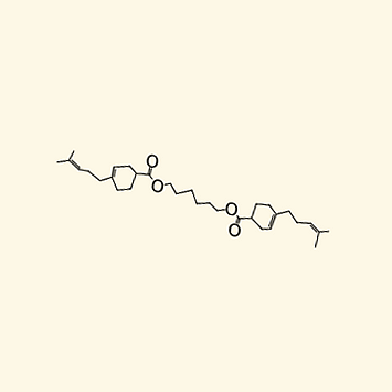 CC(C)=CCCC1=CCC(C(=O)OCCCCCCOC(=O)C2CC=C(CCC=C(C)C)CC2)CC1